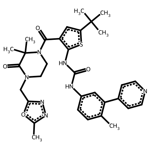 Cc1nnc(CN2CCN(C(=O)c3cc(C(C)(C)C)sc3NC(=O)Nc3ccc(C)c(-c4ccncc4)c3)C(C)(C)C2=O)o1